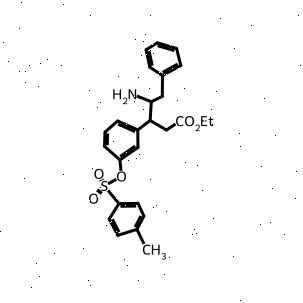 CCOC(=O)CC(c1cccc(OS(=O)(=O)c2ccc(C)cc2)c1)C(N)Cc1ccccc1